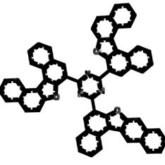 c1ccc2cc3c(cc2c1)oc1c(-c2nc(-c4cc5ccccc5c5c4oc4ccc6ccccc6c45)nc(-c4cc5ccccc5c5c4oc4ccc6ccccc6c45)n2)cc2ccccc2c13